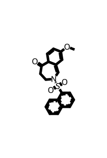 COC1=CC2=CN(S(=O)(=O)c3cccc4ccccc34)CCC(=O)C2C=C1